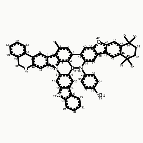 Cc1cc2c3c4c1c1cc5c(cc1n4-c1cc4oc6ccccc6c4cc1B3N(c1ccc(C(C)(C)C)cc1)c1cc3c(cc1-2)oc1cc2c(cc13)C(C)(C)CCC2(C)C)OCc1ccccc1-5